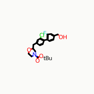 CC(C)(C)OC(=O)N1CCOC(Cc2ccc(-c3ccc(CO)cc3F)c(Cl)c2)C1